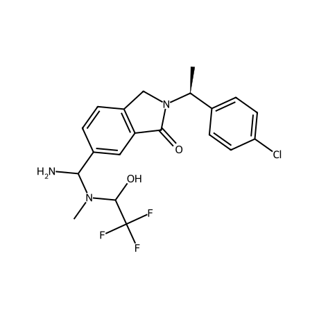 C[C@@H](c1ccc(Cl)cc1)N1Cc2ccc(C(N)N(C)C(O)C(F)(F)F)cc2C1=O